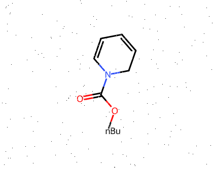 CCCCOC(=O)N1C=CC=CC1